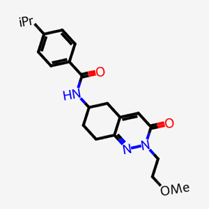 COCCn1nc2c(cc1=O)CC(NC(=O)c1ccc(C(C)C)cc1)CC2